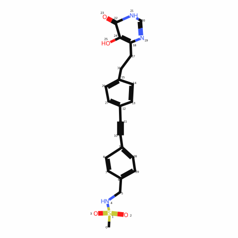 CS(=O)(=O)NCc1ccc(C#Cc2ccc(CCc3nc[nH]c(=O)c3O)cc2)cc1